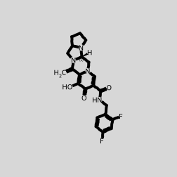 C=C1c2c(O)c(=O)c(C(=O)NCc3ccc(F)cc3F)cn2C[C@@H]2N1CC1CCCN12